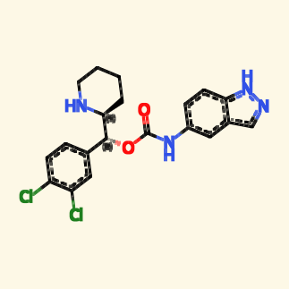 O=C(Nc1ccc2[nH]ncc2c1)O[C@H](c1ccc(Cl)c(Cl)c1)[C@@H]1CCCCN1